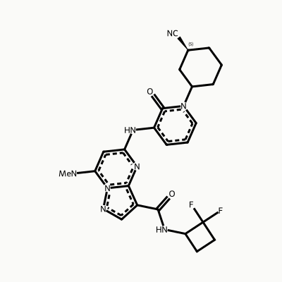 CNc1cc(Nc2cccn(C3CCC[C@H](C#N)C3)c2=O)nc2c(C(=O)NC3CCC3(F)F)cnn12